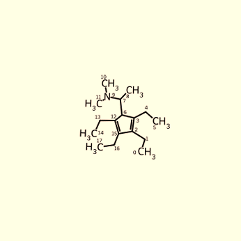 CCC1=C(CC)C(C(C)N(C)C)C(CC)=C1CC